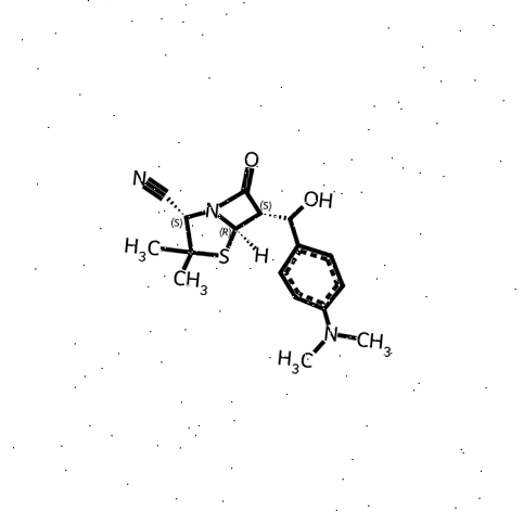 CN(C)c1ccc(C(O)[C@H]2C(=O)N3[C@@H]2SC(C)(C)[C@@H]3C#N)cc1